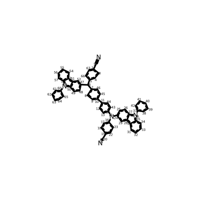 N#Cc1ccc(C(c2ccc(-c3ccc(N(c4ccc(C#N)cc4)c4ccc5c(c4)c4ccccc4n5-c4ccccc4)cc3)cc2)c2ccc3c(c2)c2ccccc2n3-c2ccccc2)cc1